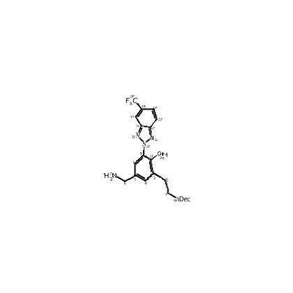 CCCCCCCCCCCCc1cc(CN)cc(-n2nc3ccc(C(F)(F)F)cc3n2)c1O